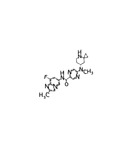 Cc1cn2cc(NC(=O)c3cnc(N(C)[C@@H]4CCNC5(CC5)C4)cn3)cc(F)c2n1